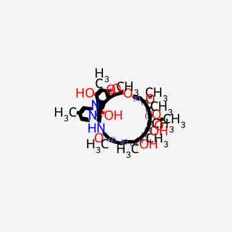 CO[C@H]1/C=C/OC2(C)Oc3c(C)c(O)c4c(O)c(c5c(nc6cc(C)ccn65)c4c3C2=O)NC(=O)/C(C)=C\C=C\[C@H](C)[C@H](O)[C@@H](C)[C@@H](O)[C@@H](C)[C@H](OC(C)=O)[C@@H]1C